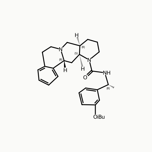 CC(C)COc1cccc([C@@H](C)NC(=O)N2CCC[C@@H]3CN4CCc5ccccc5[C@H]4C[C@@H]32)c1